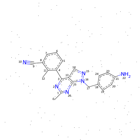 Cc1nc(-c2cccc(C#N)c2C)c2cnn(Cc3ccc(N)cc3)c2n1